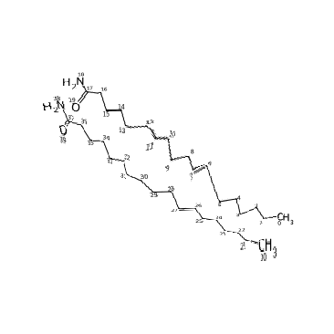 CCCCCCC=CCCCCCCCCCC(N)=O.CCCCCCC=CCCCCCCCCCC(N)=O